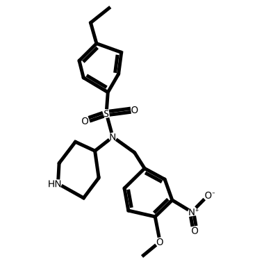 CCc1ccc(S(=O)(=O)N(Cc2ccc(OC)c([N+](=O)[O-])c2)C2CCNCC2)cc1